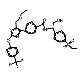 CCOCc1sc(Oc2ccc(C(F)(F)F)cc2)nc1-c1ccc(C(=O)N[C@@H](CO)c2ccc(S(=O)(=O)CC)cc2)cc1